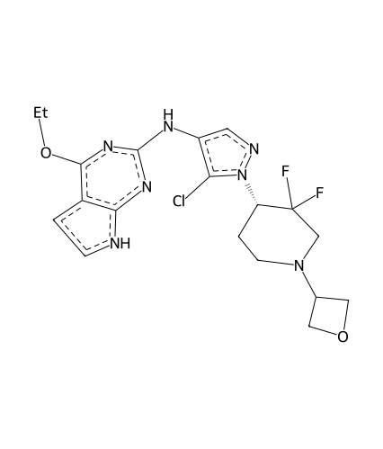 CCOc1nc(Nc2cnn([C@H]3CCN(C4COC4)CC3(F)F)c2Cl)nc2[nH]ccc12